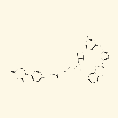 Cc1nc(Nc2ncc(C(=O)Nc3c(C)cccc3Cl)s2)cc(N2CC3[C@@H]2CN3CCCNC(=O)COc2ccc(C3CCC(=O)NC3=O)cc2)n1